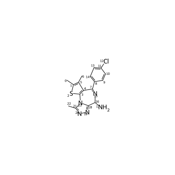 Cc1sc2c(c1C)C(c1ccc(Cl)cc1)=NC(N)c1nnc(C)n1-2